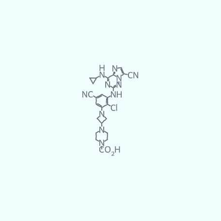 N#Cc1cc(Nc2nc(NC3CC3)c3ncc(C#N)n3n2)c(Cl)c(N2CC(N3CCN(C(=O)O)CC3)C2)c1